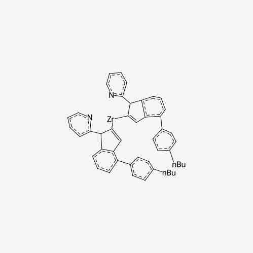 CCCCc1ccc(-c2cccc3c2C=[C]([Zr][C]2=Cc4c(-c5ccc(CCCC)cc5)cccc4C2c2ccccn2)C3c2ccccn2)cc1